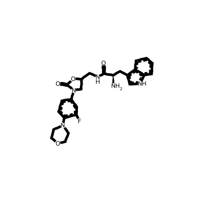 N[C@H](Cc1c[nH]c2ccccc12)C(=O)NCC1CN(c2ccc(N3CCOCC3)c(F)c2)C(=O)O1